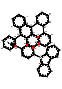 N#Cc1ccc(-n2c3ccccc3c3ccccc32)c(-c2cccc(-c3ccccc3-c3c4ccccc4c(-c4ccccc4)c4ccccc34)c2)c1